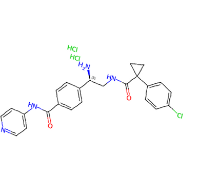 Cl.Cl.N[C@@H](CNC(=O)C1(c2ccc(Cl)cc2)CC1)c1ccc(C(=O)Nc2ccncc2)cc1